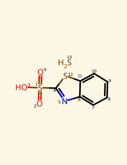 O=S(=O)(O)c1nc2ccccc2s1.S